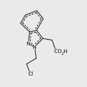 O=C(O)Cc1c2ccccc2nn1CCCl